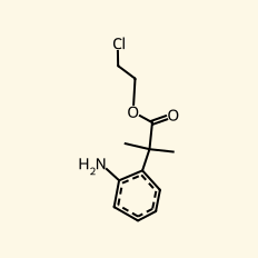 CC(C)(C(=O)OCCCl)c1ccccc1N